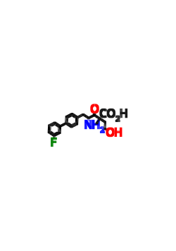 CC(CCO)(C(=O)O)C(=O)[C@H](N)Cc1ccc(-c2cccc(F)c2)cc1